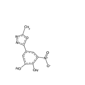 Cc1nnc(-c2cc(O)c(O)c([N+](=O)[O-])c2)o1